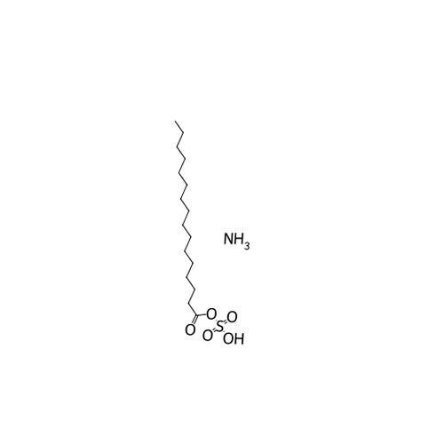 CCCCCCCCCCCCCCCC(=O)OS(=O)(=O)O.N